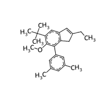 CCC1=Cc2cc(C(C)(C)C)c(OC)c(-c3cc(C)cc(C)c3)c2C1